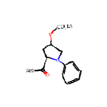 CCOC(=O)OC1C[C@H](C(=O)OC)N(c2ccccc2)C1